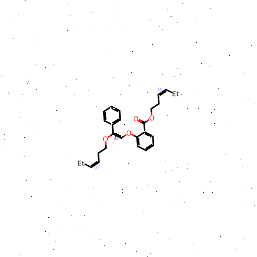 CC/C=C\CCOC(=O)c1ccccc1O/C=C(/OCC/C=C\CC)c1ccccc1